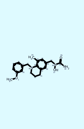 COc1cccc(CN2CCCc3cc(CN(O)C(N)=O)cc(C)c32)c1